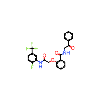 O=C(COc1ccccc1C(=O)NCC(=O)c1ccccc1)Nc1cc(C(F)(F)F)ccc1F